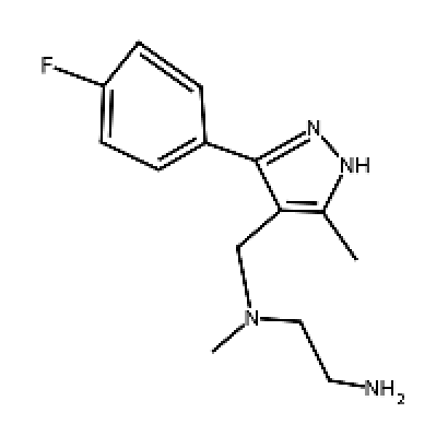 Cc1[nH]nc(-c2ccc(F)cc2)c1CN(C)CCN